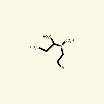 CC(C)CCN(C(=O)O)C(CC(=O)O)C(=O)O